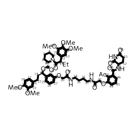 CC[C@H](C(=O)N1CCCC[C@H]1C(=O)O[C@H](CCc1ccc(OC)c(OC)c1)c1cccc(OCC(=O)NCCCCNC(=O)COc2cccc(C(=O)NC3CCC(=O)NC3=O)c2C(C)=O)c1)c1cc(OC)c(OC)c(OC)c1